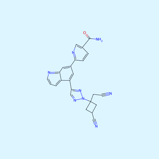 N#CCC1(n2ncc(-c3cc(-c4ccc(C(N)=O)cn4)cc4ncccc34)n2)CC(C#N)C1